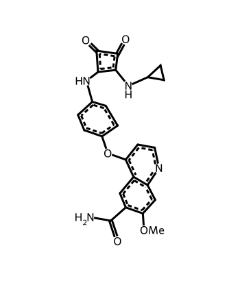 COc1cc2nccc(Oc3ccc(Nc4c(NC5CC5)c(=O)c4=O)cc3)c2cc1C(N)=O